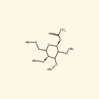 CCCCOCC1O[C@@H](OC(=N)C(Cl)(Cl)Cl)C(OCCCC)C(OCCCC)[C@H]1OCCCC